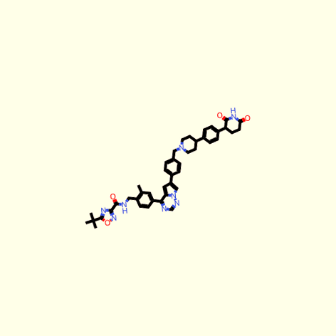 Cc1cc(-c2ncnn3cc(-c4ccc(CN5CCC(c6ccc(C7CCC(=O)NC7=O)cc6)CC5)cc4)cc23)ccc1CNC(=O)c1noc(C(C)(C)C)n1